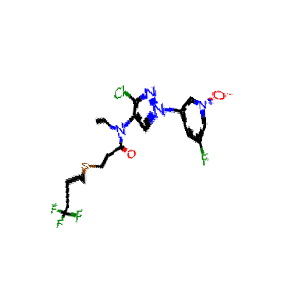 CCN(C(=O)CCSCCC(F)(F)F)c1cn(-c2cc(F)c[n+]([O-])c2)nc1Cl